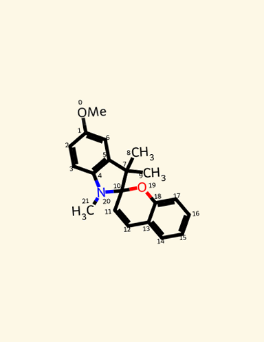 COc1ccc2c(c1)C(C)(C)C1(C=Cc3ccccc3O1)N2C